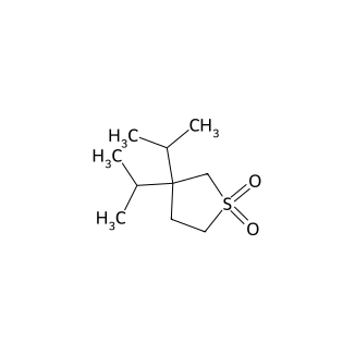 CC(C)C1(C(C)C)CCS(=O)(=O)C1